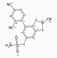 N#Cc1ccc(-c2cc(CS(N)(=O)=O)cc3c2CN(C#N)C3)c(C#N)c1